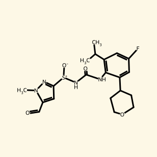 CC(C)c1cc(F)cc(C2CCOCC2)c1NC(=O)N[S+]([O-])c1cc(C=O)n(C)n1